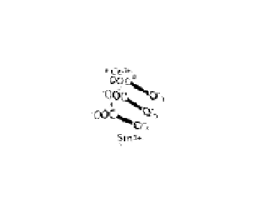 O=C([O-])[O-].O=C([O-])[O-].O=C([O-])[O-].[Ce+3].[Sm+3]